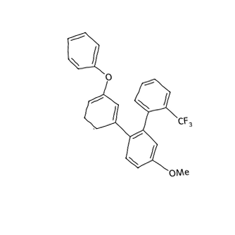 COc1ccc(C2=CC(Oc3ccccc3)=CC[CH]2)c(-c2ccccc2C(F)(F)F)c1